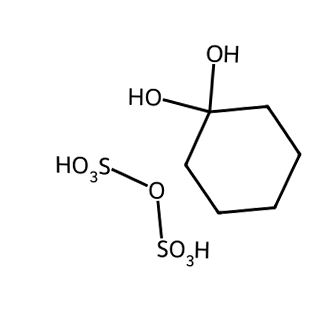 O=S(=O)(O)OS(=O)(=O)O.OC1(O)CCCCC1